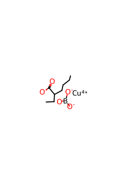 CCCCC(CC)C(=O)[O-].[Cu+4].[O-]B([O-])[O-]